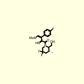 CN/C=C(\C(=N)C(=O)N1CC(F)(F)C[C@@H](C)C1CO)c1ccc(F)cc1